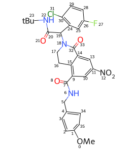 COc1ccc(CNC(=O)c2cc([N+](=O)[O-])cc3c2CCN(C(C(=O)NC(C)(C)C)c2cc(F)ccc2Cl)C3=O)cc1